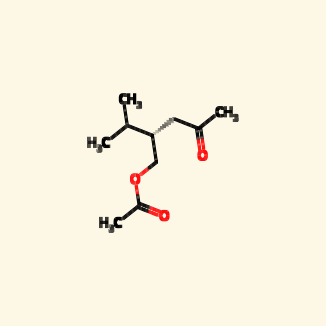 CC(=O)C[C@H](COC(C)=O)C(C)C